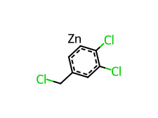 ClCc1ccc(Cl)c(Cl)c1.[Zn]